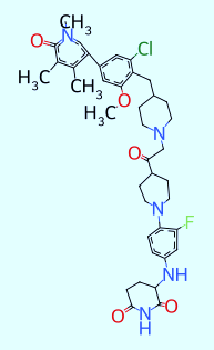 COc1cc(-c2cn(C)c(=O)c(C)c2C)cc(Cl)c1CC1CCN(CC(=O)C2CCN(c3ccc(NC4CCC(=O)NC4=O)cc3F)CC2)CC1